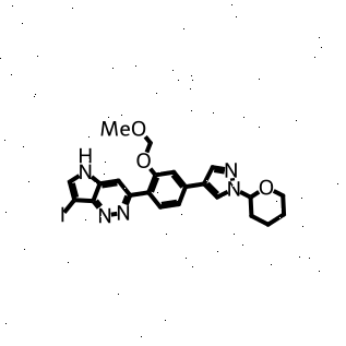 COCOc1cc(-c2cnn(C3CCCCO3)c2)ccc1-c1cc2[nH]cc(I)c2nn1